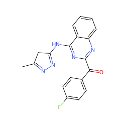 CC1=NN=C(Nc2nc(C(=O)c3ccc(F)cc3)nc3ccccc23)C1